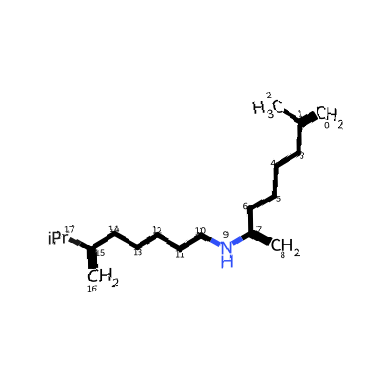 C=C(C)CCCCC(=C)NCCCCCC(=C)C(C)C